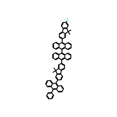 CC1(C)c2cc(F)ccc2-c2ccc(-c3c4ccccc4c(-c4c5ccccc5c(-c5ccc6c(c5)C(C)(C)c5cc(-c7c8ccccc8c(-c8ccccc8)c8ccccc78)ccc5-6)c5ccccc45)c4ccccc34)cc21